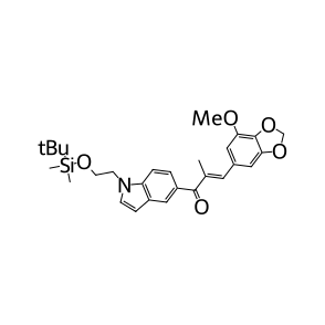 COc1cc(/C=C(\C)C(=O)c2ccc3c(ccn3CCO[Si](C)(C)C(C)(C)C)c2)cc2c1OCO2